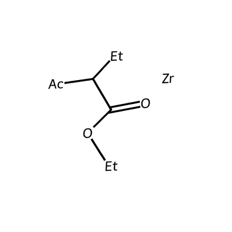 CCOC(=O)C(CC)C(C)=O.[Zr]